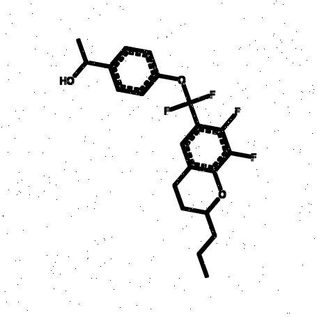 CCCC1CCc2cc(C(F)(F)Oc3ccc(C(C)O)cc3)c(F)c(F)c2O1